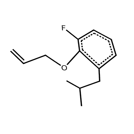 C=CCOc1c(F)cccc1CC(C)C